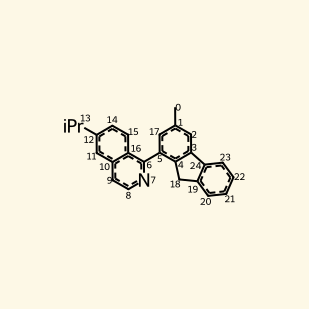 Cc1cc2c(c(-c3nccc4cc(C(C)C)ccc34)c1)Cc1ccccc1-2